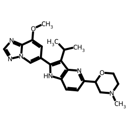 COc1cc(-c2[nH]c3ccc(C4CN(C)CCO4)nc3c2C(C)C)cn2ncnc12